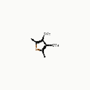 CSc1c(C)sc(C)c1SC